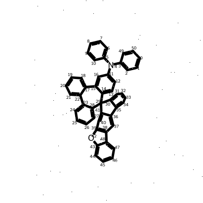 c1ccc(N(c2ccccc2)c2ccc3c(c2)-c2ccccc2-c2ccccc2C32c3ccccc3-c3cc4c(cc32)oc2ccccc24)cc1